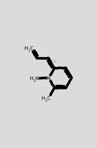 C=C/C=C1/C=CC=C(C)N1N